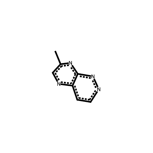 Cc1cnc2ccnnc2n1